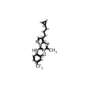 Cc1nc(Nc2ccc(C(F)(F)F)cc2Cl)n2ncc(CCCC3CC3)c2n1